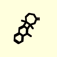 Cc1c2c(cc3ccccc13)C1(C)CCCNCC21C